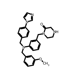 COc1cccc(CN(Cc2ccc(-n3ccnc3)cc2)c2cccc(CN3CCNCC3=O)c2)c1